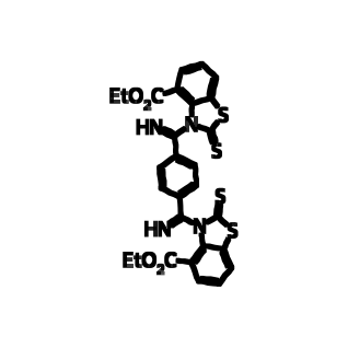 CCOC(=O)c1cccc2sc(=S)n(C(=N)c3ccc(C(=N)n4c(=S)sc5cccc(C(=O)OCC)c54)cc3)c12